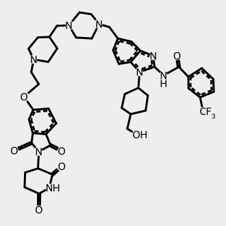 O=C1CCC(N2C(=O)c3ccc(OCCN4CCC(CN5CCN(Cc6ccc7c(c6)nc(NC(=O)c6cccc(C(F)(F)F)c6)n7C6CCC(CO)CC6)CC5)CC4)cc3C2=O)C(=O)N1